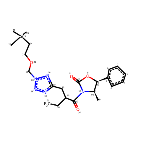 C[C@@H]1[C@H](c2ccccc2)OC(=O)N1C(=O)C(Cc1nnn(COCC[Si](C)(C)C)n1)CC(F)(F)F